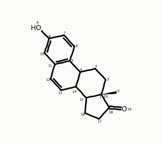 C[C@]12CCC3c4ccc(O)cc4C=CC3C1CCC2=O